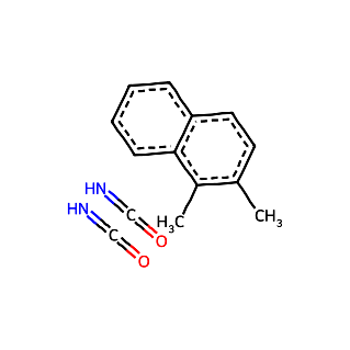 Cc1ccc2ccccc2c1C.N=C=O.N=C=O